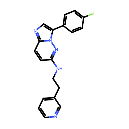 Fc1ccc(-c2cnc3ccc(NCCc4cccnc4)nn23)cc1